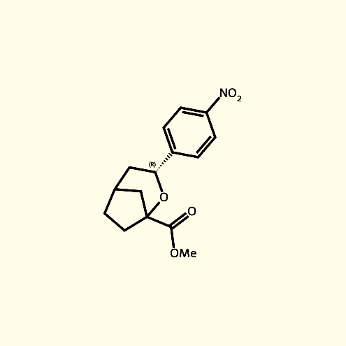 COC(=O)C12CCC(C[C@H](c3ccc([N+](=O)[O-])cc3)O1)C2